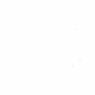 Cn1ncc2c3c4ncc(Br)cc4n([C@H](c4ccccc4)C4CCOCC4)c3ccc21